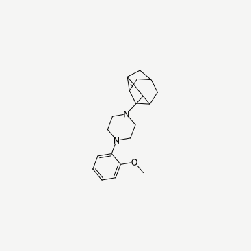 COc1ccccc1N1CCN(C2C=C3CC4CC3CC2C4)CC1